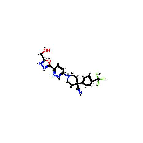 N#CC1(c2ccc(C(F)(F)F)cc2)CCN(c2ccc(-c3nnc(CO)o3)nn2)CC1